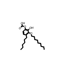 CCCCCCCCCOc1c(CCCCCC)ccc(OC(=O)O)c1O